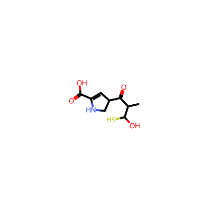 CC(C(=O)C1C=C(C(=O)O)NC1)C(O)S